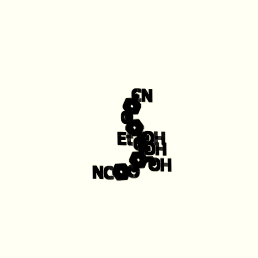 CCc1cc(Oc2ccc(C#N)cc2)ccc1B(O)OB(O)c1ccc(Oc2ccc(C#N)cc2)cc1CO